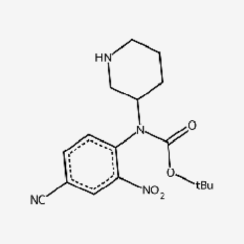 CC(C)(C)OC(=O)N(c1ccc(C#N)cc1[N+](=O)[O-])C1CCCNC1